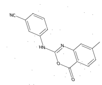 Cc1ccc2c(=O)oc(Nc3cccc(C#N)c3)nc2c1